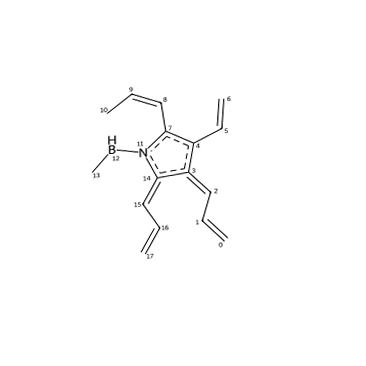 C=C/C=c1/c(C=C)c(/C=C\C)n(BC)/c1=C/C=C